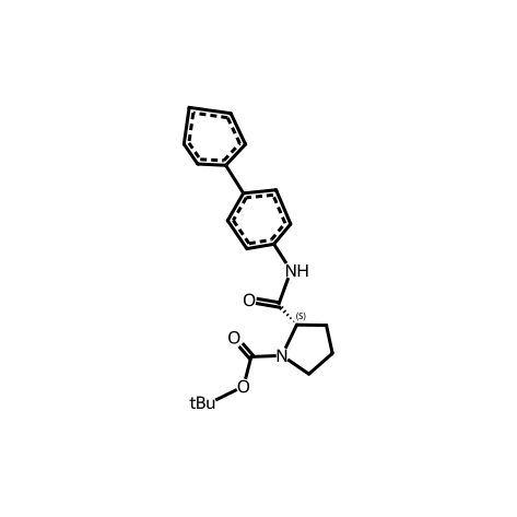 CC(C)(C)OC(=O)N1CCC[C@H]1C(=O)Nc1ccc(-c2ccccc2)cc1